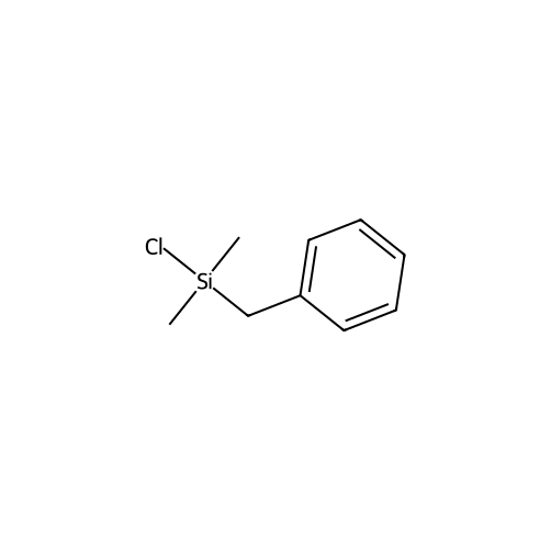 C[Si](C)(Cl)Cc1ccccc1